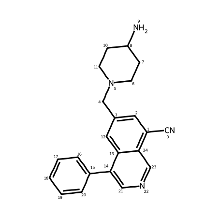 N#Cc1cc(CN2CCC(N)CC2)cc2c(-c3ccccc3)cncc12